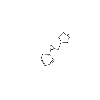 [c]1ccc(OCC2CCSC2)cc1